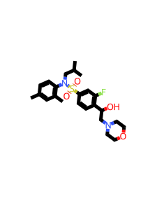 Cc1ccc(N(CC(C)C)S(=O)(=O)c2ccc(C(O)CN3CCOCC3)c(F)c2)c(C)c1